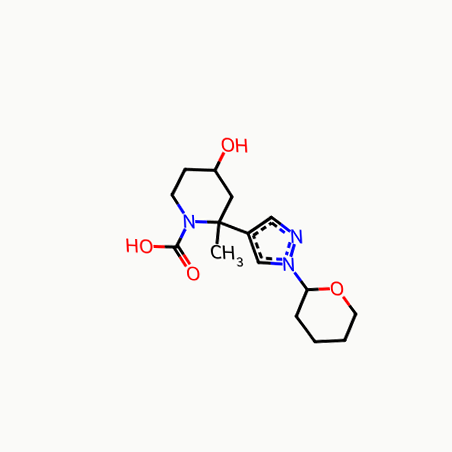 CC1(c2cnn(C3CCCCO3)c2)CC(O)CCN1C(=O)O